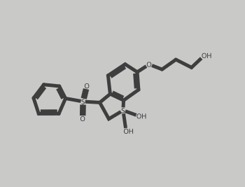 O=S(=O)(c1ccccc1)C1CS(O)(O)c2cc(OCCCO)ccc21